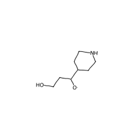 [O]C(CCO)C1CCNCC1